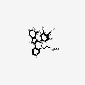 COCCOc1cnccc1-c1[nH]c2c(c1Nc1ccc(F)c(F)c1)C(=O)NCC2